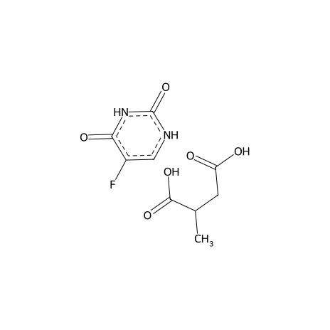 CC(CC(=O)O)C(=O)O.O=c1[nH]cc(F)c(=O)[nH]1